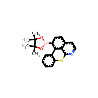 CC1(C)OB(c2ccc3ccnc4c3c2-c2ccccc2S4)OC1(C)C